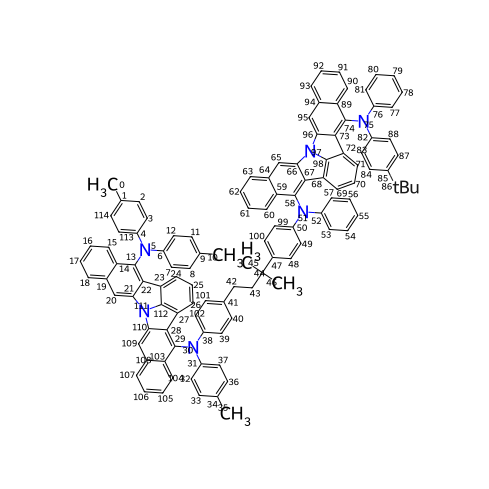 Cc1ccc(N(c2ccc(C)cc2)c2c3ccccc3cc3c2c2cccc4c5c(N(c6ccc(C)cc6)c6ccc(CCC(C)(C)c7ccc(N(c8ccccc8)c8c9ccccc9cc9c8c8cccc%10c%11c(N(c%12ccccc%12)c%12ccc(C(C)(C)C)cc%12)c%12ccccc%12cc%11n9c%108)cc7)cc6)c6ccccc6cc5n3c24)cc1